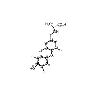 C[C@@H](NCc1cc(I)c(Oc2cc(I)c(O)c(I)c2)c(I)c1)C(=O)O